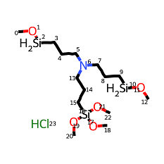 CO[SiH2]CCCN(CCC[SiH2]OC)CCC[Si](OC)(OC)OC.Cl